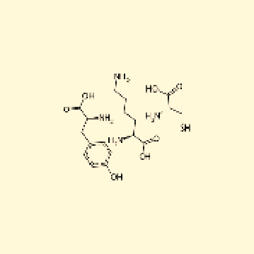 NCCCC[C@H](N)C(=O)O.N[C@@H](CS)C(=O)O.N[C@@H](Cc1ccc(O)cc1)C(=O)O